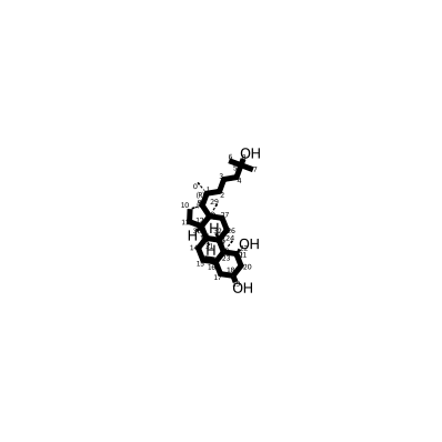 C[C@H](CCCC(C)(C)O)[C@H]1CC[C@H]2[C@@H]3CC=C4CC(O)C[C@H](O)[C@]4(C)[C@H]3CC[C@]12C